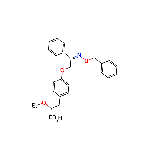 CCOC(Cc1ccc(OC/C(=N\OCc2ccccc2)c2ccccc2)cc1)C(=O)O